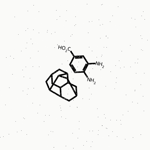 C1C2CC3C4CC5CC(C14)C(C2)C3C5.Nc1ccc(C(=O)O)cc1N